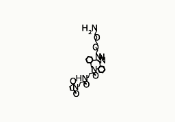 NCCOCCOCCn1nnc2c1-c1ccccc1CN(C(=O)CCNC(=O)CCN1C(=O)C=CC1=O)c1ccccc1-2